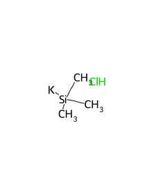 C[Si](C)(C)[K].Cl